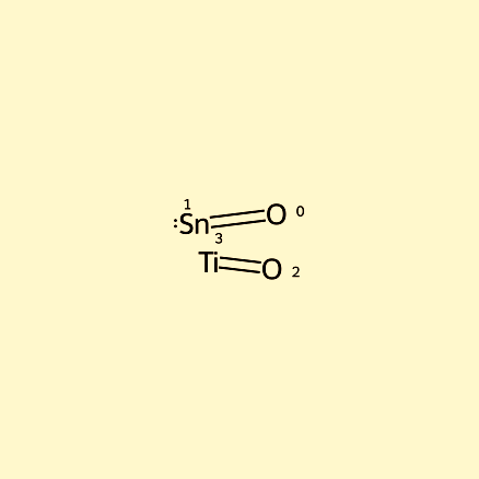 [O]=[Sn].[O]=[Ti]